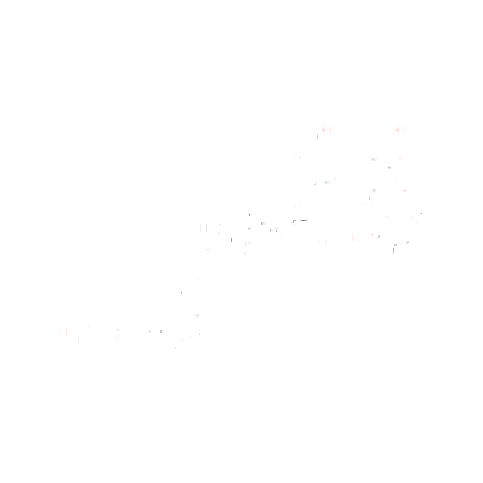 C[C@@H]1O[C@@H](O[C@H]2[C@H](O[C@H]3[C@H](O[C@H]4CC[C@@]5(C)[C@@H](CC[C@]6(C)[C@@H]5CC=C5[C@@H]7CC(C)(C)CC[C@]7(C(=O)O[C@@H]7O[C@H](COC(=O)CC(C)(O)CC(=O)O)[C@@H](O)[C@H](O)[C@H]7O)CC[C@]56C)[C@@]4(C)CO)O[C@H](C(=O)O)[C@@H](O)[C@@H]3O)O[C@H](CO)[C@H](O)[C@@H]2O)[C@H](O)[C@H](O)[C@H]1O